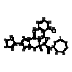 CC1(C(=O)NC2CCCCCC2)Cn2nc(-c3ccco3)cc2C(=O)N1Cc1ccccc1Cl